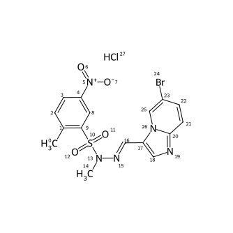 Cc1ccc([N+](=O)[O-])cc1S(=O)(=O)N(C)N=Cc1cnc2ccc(Br)cn12.Cl